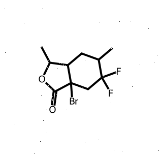 CC1OC(=O)C2(Br)CC(F)(F)C(C)CC12